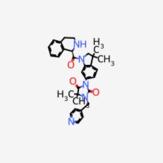 CC1(C)CN(C(=O)[C@@H]2NCCc3ccccc32)c2cc(N3C(=O)N(Cc4ccncc4)C(C)(C)C3=O)ccc21